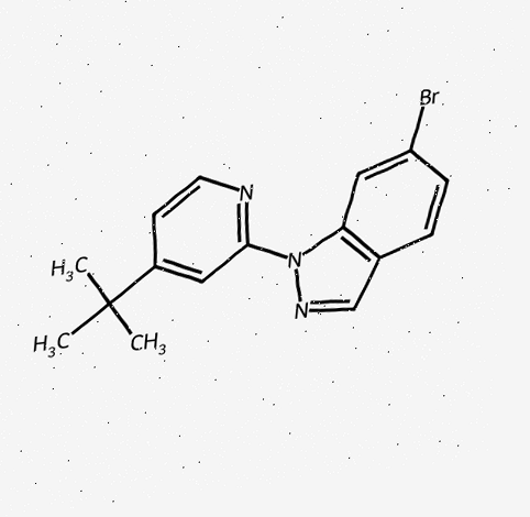 CC(C)(C)c1ccnc(-n2ncc3ccc(Br)cc32)c1